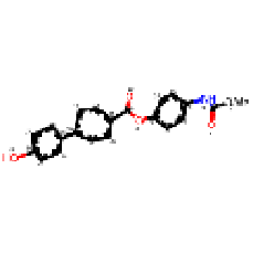 COC(=O)Nc1ccc(OC(=O)c2ccc(-c3ccc(O)cc3)cc2)cc1